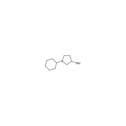 [NH]C1CCN(C2CCCCC2)C1